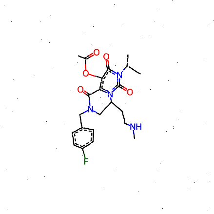 CNCCC1CN(Cc2ccc(F)cc2)C(=O)c2c(OC(C)=O)c(=O)n(C(C)C)c(=O)n21